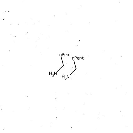 CCCCCCN.CCCCCCN